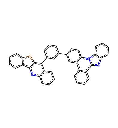 c1cc(-c2ccc3c(c2)c2ccccc2c2nc4ccccc4n32)cc(-c2c3ccccc3nc3c2sc2ccccc23)c1